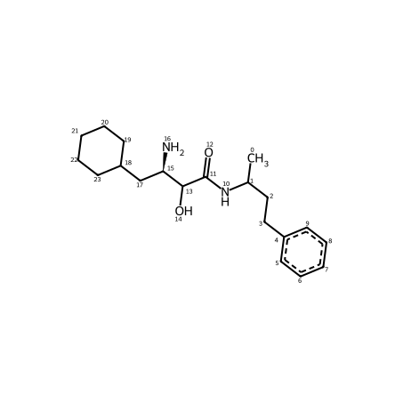 CC(CCc1ccccc1)NC(=O)C(O)[C@H](N)CC1CCCCC1